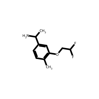 Cc1ccc(C(C)N)cc1OCC(F)F